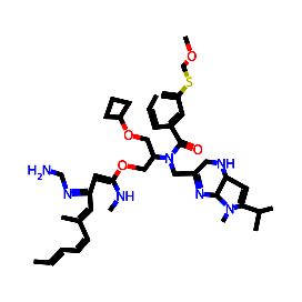 C=C(/C=C(\C=C/C)C(=O)N(CC1=NC2C(C=C(C(C)C)N2C)NC1)C(CO/C(=C/C(/C=C(C)/C=C\C=C\C)=N\CN)NC)COC1CCC1)SCOC